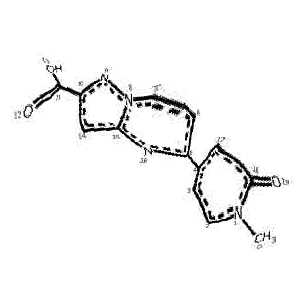 Cn1ccc(-c2ccn3nc(C(=O)O)cc3n2)cc1=O